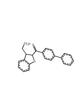 O=C(O)CC1c2ccccc2OC1C(=O)c1ccc(-c2ccccc2)cc1